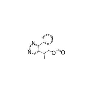 CC(COC=O)c1cncnc1-c1ccccc1